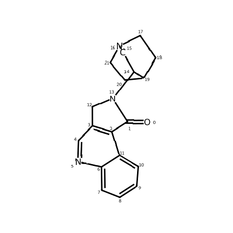 O=C1c2c(cnc3ccccc23)CN1C1CN2CCC1CC2